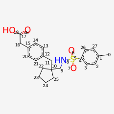 Cc1ccc(S(=O)(=O)NCC2(Cc3ccc(CC(=O)O)cc3)CCCC2)cc1